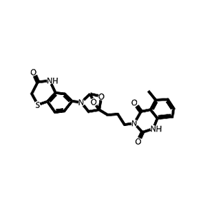 Cc1cccc2[nH]c(=O)n(CCCC34CN(c5ccc6c(c5)NC(=O)CS6)C(O3)O4)c(=O)c12